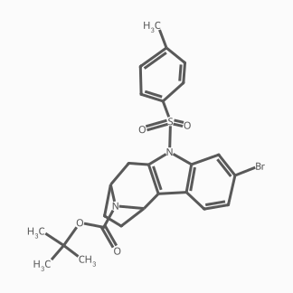 Cc1ccc(S(=O)(=O)n2c3c(c4ccc(Br)cc42)C2CCC(C3)N2C(=O)OC(C)(C)C)cc1